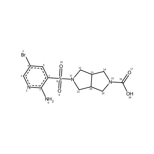 Nc1ncc(Br)cc1S(=O)(=O)N1CC2CN(C(=O)O)CC2C1